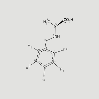 C[C@H](NCc1c(F)c(F)c(F)c(F)c1F)C(=O)O